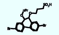 CCCOC1c2cc(Br)ccc2-c2ccc(Br)cc2C1OCCCS(=O)(=O)O